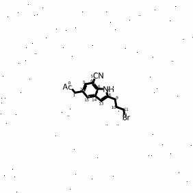 CC(=O)Cc1cc(C#N)c2[nH]c(CCCBr)cc2c1